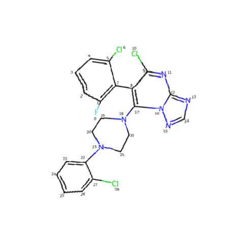 Fc1cccc(Cl)c1-c1c(Cl)nc2ncnn2c1N1CCN(c2ccccc2Cl)CC1